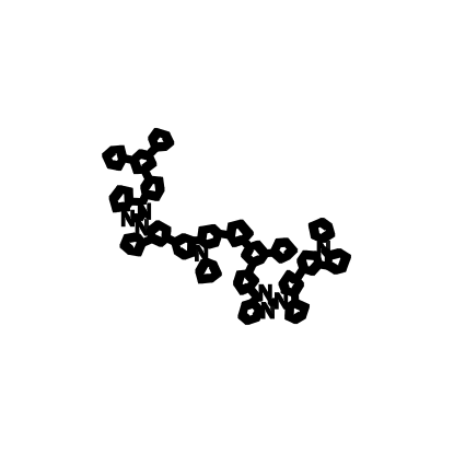 c1ccc(-c2cc(-c3cccc(-c4ccc5c6cc(-c7ccc8c(c7)c7ccccc7n8-c7nc(-c8cccc(-c9cc(-c%10ccccc%10)cc(-c%10ccccc%10)c9)c8)c8ccccc8n7)ccc6n(-c6ccccc6)c5c4)c3)cc(-c3cccc(-c4nc(-n5c6ccccc6c6cc(-c7ccc8c(c7)c7ccccc7n8-c7ccccc7)ccc65)nc5ccccc45)c3)c2)cc1